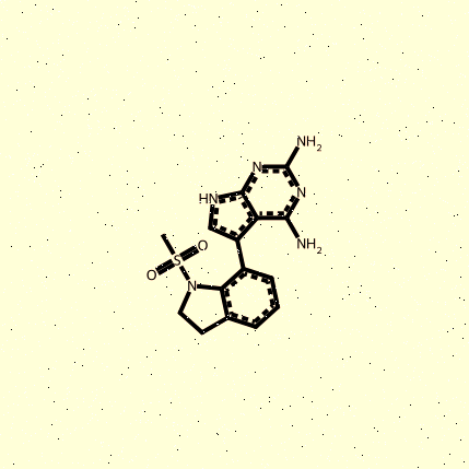 CS(=O)(=O)N1CCc2cccc(-c3c[nH]c4nc(N)nc(N)c34)c21